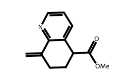 C=C1CCC(C(=O)OC)c2cccnc21